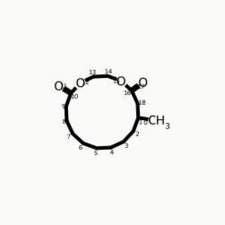 CC1CCCCCCCCC(=O)OCCOC(=O)C1